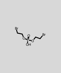 O=P(O)(OCCBr)OCCBr